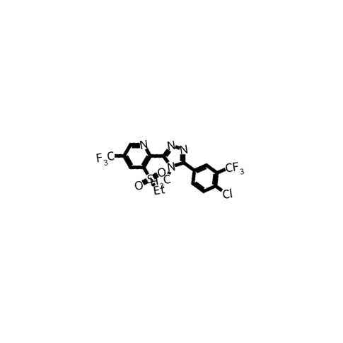 CCS(=O)(=O)c1cc(C(F)(F)F)cnc1-c1nnc(-c2ccc(Cl)c(C(F)(F)F)c2)n1C